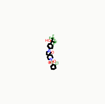 O=C1N(c2ccc(C(O)(C(F)(F)F)C(F)(F)F)cc2)CCC12CCN(S(=O)(=O)c1ccccc1Cl)CC2